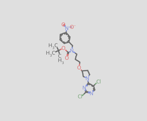 CC(C)(C)OC(=O)N(CCCOC1CCN(c2nc(Cl)ncc2Cl)C1)Cc1cccc([N+](=O)[O-])c1